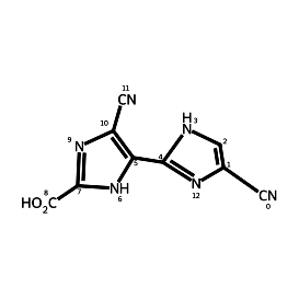 N#Cc1c[nH]c(-c2[nH]c(C(=O)O)nc2C#N)n1